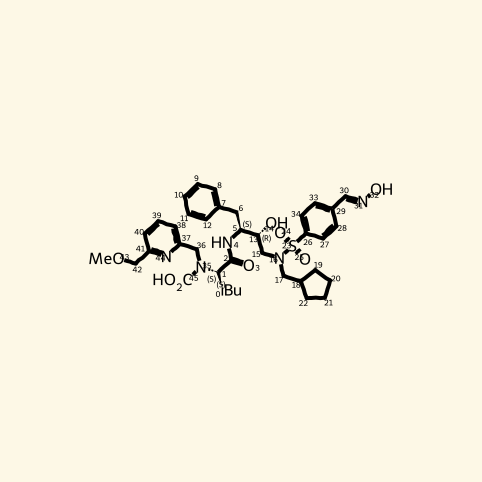 CC[C@H](C)[C@@H](C(=O)N[C@@H](Cc1ccccc1)[C@H](O)CN(CC1CCCC1)S(=O)(=O)c1ccc(C=NO)cc1)N(Cc1cccc(COC)n1)C(=O)O